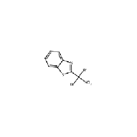 O=[N+]([O-])C(Br)(Br)c1nc2ccccc2s1